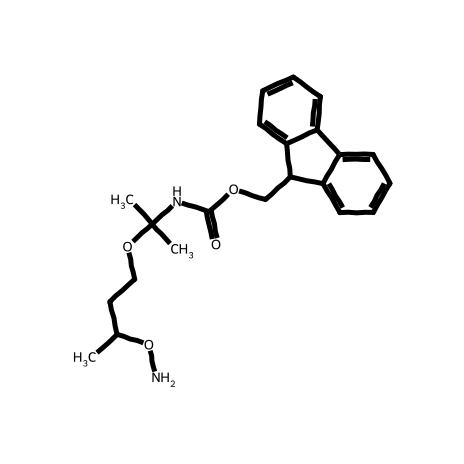 CC(CCOC(C)(C)NC(=O)OCC1c2ccccc2-c2ccccc21)ON